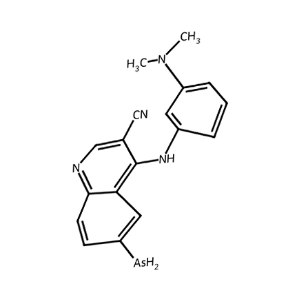 CN(C)c1cccc(Nc2c(C#N)cnc3ccc([AsH2])cc23)c1